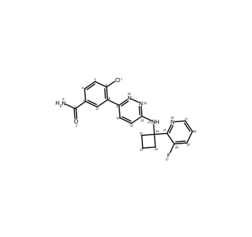 NC(=O)c1ccc(Cl)c(-c2ccc(NC3(c4ncccc4F)CCC3)nn2)c1